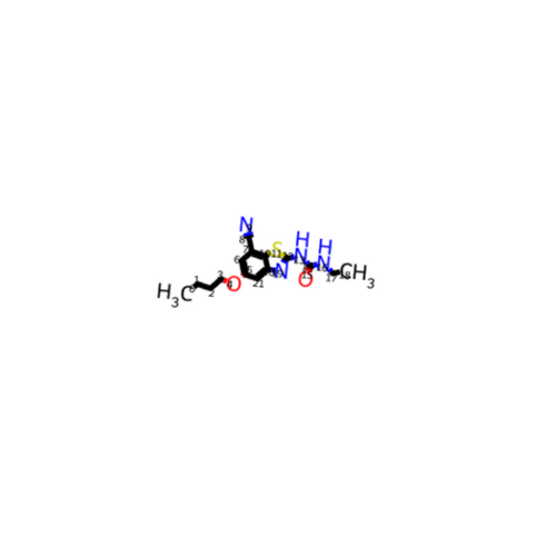 CCCCOc1cc(C#N)c2sc(NC(=O)NCC)nc2c1